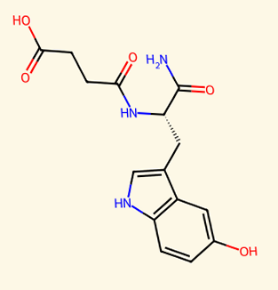 NC(=O)[C@H](Cc1c[nH]c2ccc(O)cc12)NC(=O)CCC(=O)O